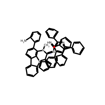 CN(/C(=N\C(=N)c1ccccc1-c1ccccc1)c1ccccc1)c1c(-c2ccccc2N)ccc2c3ccccc3n(-c3cccc(-c4cc(-c5ccccc5)nc(-c5ccccc5)c4)c3)c12